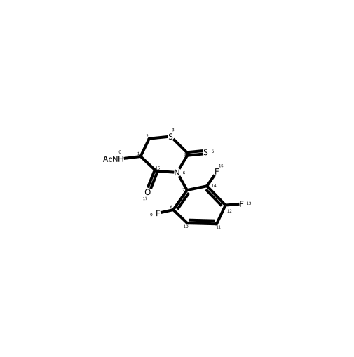 CC(=O)NC1CSC(=S)N(c2c(F)ccc(F)c2F)C1=O